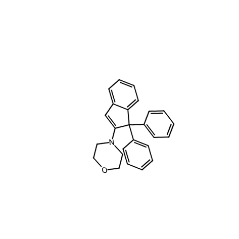 C1=C(N2CCOCC2)C(c2ccccc2)(c2ccccc2)c2ccccc21